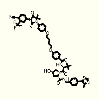 Cc1ncsc1-c1ccc(CNC(=O)[C@@H]2C[C@@H](O)CN2C(=O)[C@@H](NC(=O)c2ccc(OCCCCOc3ccc(N4C(=S)N(c5ccc(C#N)c(C(F)(F)F)c5)C(=O)C4(C)C)cc3)cc2)C(C)(C)C)cc1